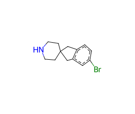 Brc1ccc2c(c1)CC1(CCNCC1)C2